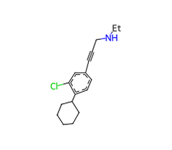 CCNCC#Cc1ccc(C2CCCCC2)c(Cl)c1